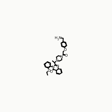 CCOc1ccccc1N1C(=O)C2C=CC=CC2N=C1C(C)N1CCN(C(=O)COc2ccc(CN)cc2)CC1